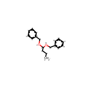 [CH2]CCC(OCc1ccccc1)OCc1ccccc1